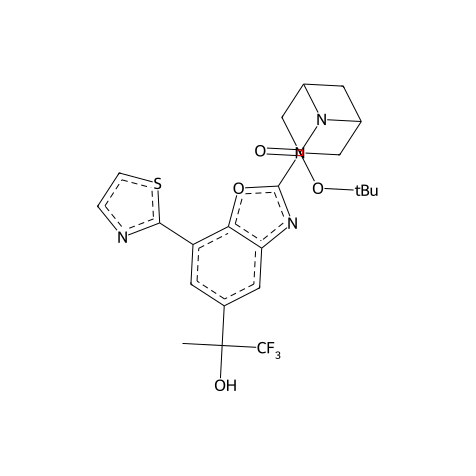 CC(C)(C)OC(=O)N1C2CC1CN(c1nc3cc(C(C)(O)C(F)(F)F)cc(-c4nccs4)c3o1)C2